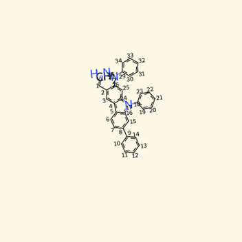 C=Cc1cc2c3ccc(-c4ccccc4)cc3n(-c3ccccc3)c2cc1N(N)c1ccccc1